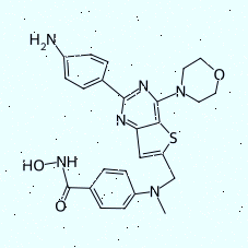 CN(Cc1cc2nc(-c3ccc(N)cc3)nc(N3CCOCC3)c2s1)c1ccc(C(=O)NO)cc1